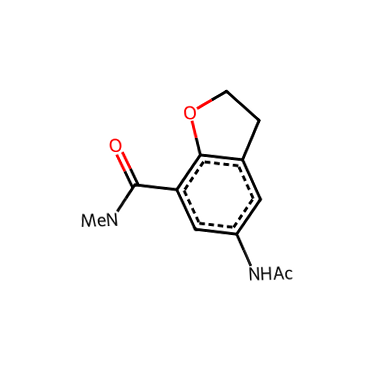 CNC(=O)c1cc(NC(C)=O)cc2c1OCC2